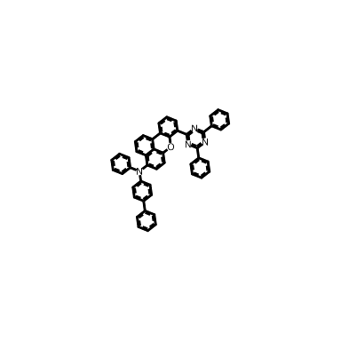 c1ccc(-c2ccc(N(c3ccccc3)c3ccc4c5c(cccc35)-c3cccc(-c5nc(-c6ccccc6)nc(-c6ccccc6)n5)c3O4)cc2)cc1